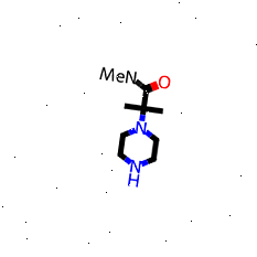 CNC(=O)C(C)(C)N1CCNCC1